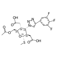 CS[C@@H]1O[C@@H](COC(C)=O)[C@H](CC(=O)O)[C@H](n2cc(-c3cc(F)c(F)c(F)c3)nn2)[C@H]1CC(=O)O